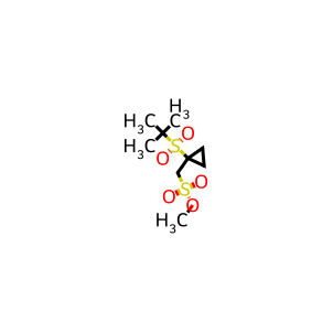 COS(=O)(=O)CC1(S(=O)(=O)C(C)(C)C)CC1